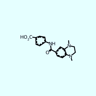 CN1CCN(C)c2cc(C(=O)Nc3ccc(C(=O)O)cc3)ccc21